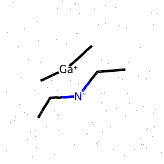 CC[N-]CC.[CH3][Ga+][CH3]